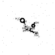 C/C1=C/CC[C@H]2C(CC1)[C@H]2COC(=O)N[C@H](C(=O)NC(CCCNC(N)=O)C(=O)Nc1ccc(CO)cc1)C(C)C